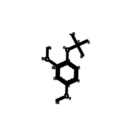 [CH2]C(C)(C)Oc1ccc(OC)cc1OC